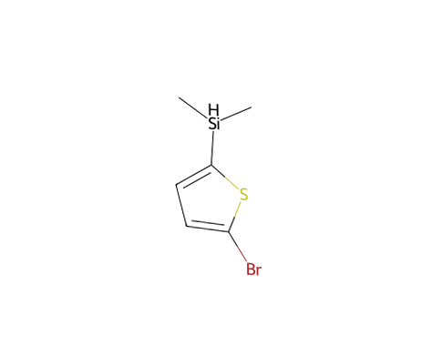 C[SiH](C)c1ccc(Br)s1